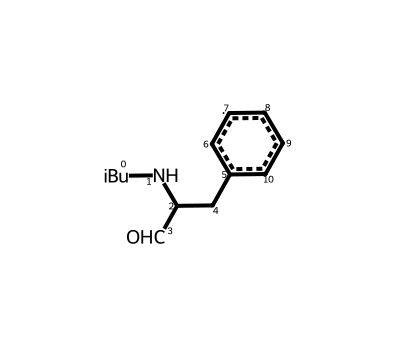 CCC(C)NC(C=O)Cc1c[c]ccc1